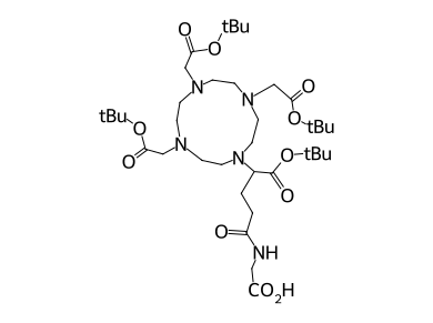 CC(C)(C)OC(=O)CN1CCN(CC(=O)OC(C)(C)C)CCN(C(CCC(=O)NCC(=O)O)C(=O)OC(C)(C)C)CCN(CC(=O)OC(C)(C)C)CC1